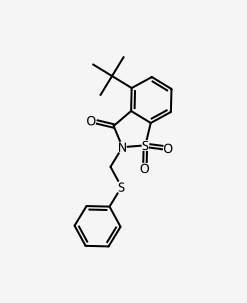 CC(C)(C)c1cccc2c1C(=O)N(CSc1ccccc1)S2(=O)=O